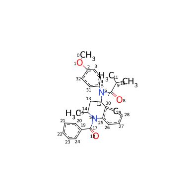 COc1ccc(N(C(=O)C(C)C)C2CC(C)N(C(=O)c3ccccc3)c3ccccc32)cc1